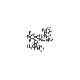 CC(C)(C)N1C[C@@H](C(=O)NCCN[C@@H](Cc2cccc(F)c2F)C(=O)O)[C@H](c2ccc(F)c(F)c2F)C1